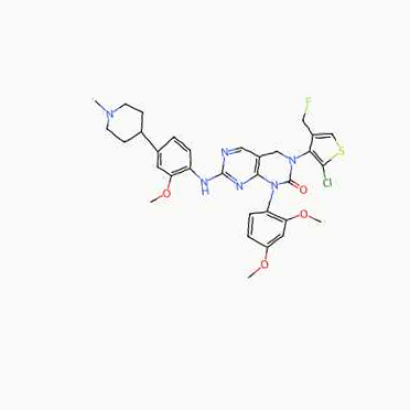 COc1ccc(N2C(=O)N(c3c(CF)csc3Cl)Cc3cnc(Nc4ccc(C5CCN(C)CC5)cc4OC)nc32)c(OC)c1